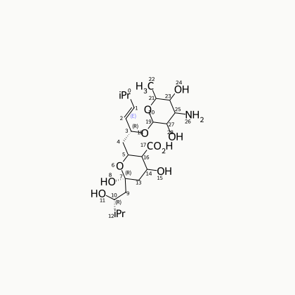 CC(C)/C=C/[C@@H](CC1O[C@](O)(C[C@@H](O)C(C)C)CC(O)C1C(=O)O)OC1OC(C)C(O)C(N)C1O